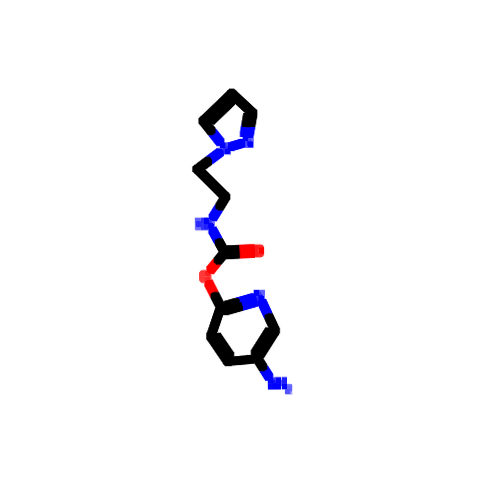 Nc1ccc(OC(=O)NCCn2cccn2)nc1